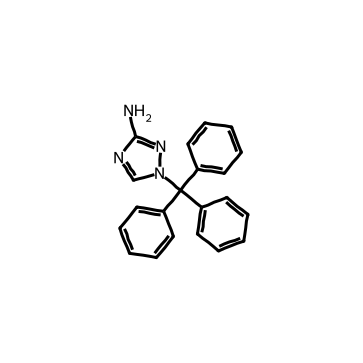 Nc1ncn(C(c2ccccc2)(c2ccccc2)c2ccccc2)n1